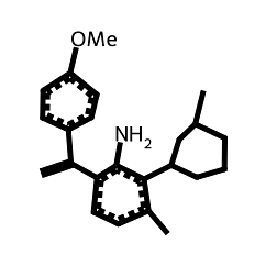 C=C(c1ccc(OC)cc1)c1ccc(C)c(C2CCCC(C)C2)c1N